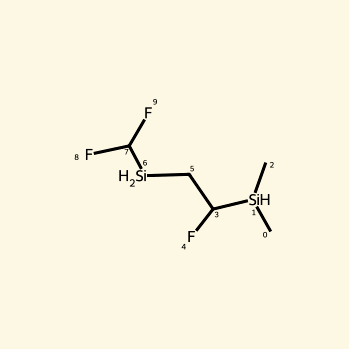 C[SiH](C)C(F)C[SiH2]C(F)F